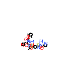 Cc1cccc(C)c1OCC(=O)N[C@@H](Cc1ccccc1)[C@H](O)CN(CC(C)C)S(=O)(=O)c1ccc2nc(NC(=O)c3cccnc3)sc2c1